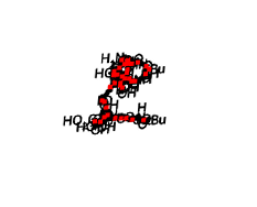 CC[C@H](C)C1NC(=O)CNC(=O)C2Cc3c([nH]c4cc(OCCCCCCN(C)C(=O)OCc5ccc(OC6O[C@H](C(=O)O)[C@@H](O)[C@H](O)[C@H]6O)c(C(=O)NCCOCCOCCONC(=O)OC(C)(C)C)c5)ccc34)[S+]([O-])C[C@H](NC(=O)CNC1=O)C(=O)N[C@@H](CC(N)=O)C(=O)N1C[C@H](O)C[C@H]1C(=O)N[C@@H]([C@@H](C)[C@@H](O)CO)C(=O)N2